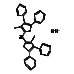 CC1=[C]([Zr][C]2=C(C)C(c3ccccc3)=C(c3ccccc3)C2)CC(c2ccccc2)=C1c1ccccc1.[H-].[H-]